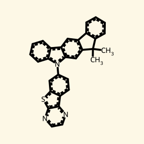 CC1(C)c2ccccc2-c2cc3c4ccccc4n(-c4ccc5c(c4)sc4nccnc45)c3cc21